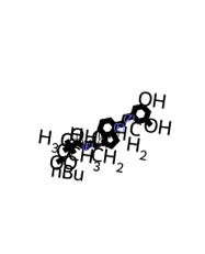 C=C1/C(=C\C=C2/CCC[C@]3(C)[C@@H](C(=C)/C=C/[C@@H](O)C(C)(C)OC(=O)OCCCC)CC[C@@H]23)CC(O)CC1O